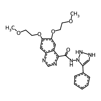 COCCOc1cc2ncnc(C(=O)NN3NNC=C3c3ccccc3)c2cc1OCCOC